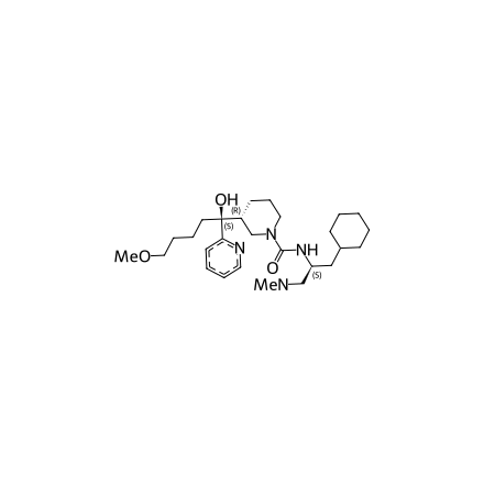 CNC[C@H](CC1CCCCC1)NC(=O)N1CCC[C@@H]([C@@](O)(CCCCOC)c2ccccn2)C1